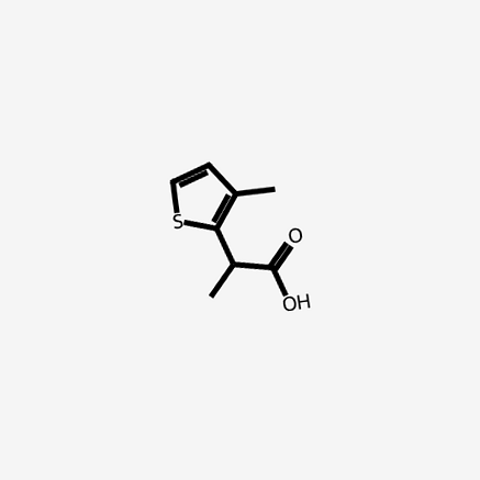 Cc1ccsc1C(C)C(=O)O